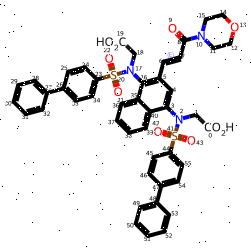 O=C(O)CN(c1cc(/C=C/C(=O)N2CCOCC2)c(N(CC(=O)O)S(=O)(=O)c2ccc(-c3ccccc3)cc2)c2ccccc12)S(=O)(=O)c1ccc(-c2ccccc2)cc1